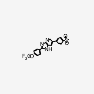 CS(=O)(=O)c1ccc(-c2cnc3nc(-c4ccc(OC(F)(F)F)cc4)[nH]c3c2)cc1